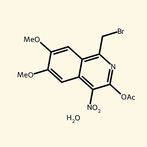 COc1cc2c(CBr)nc(OC(C)=O)c([N+](=O)[O-])c2cc1OC.O